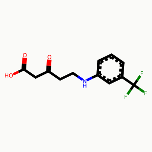 O=C(O)CC(=O)CCNc1cccc(C(F)(F)F)c1